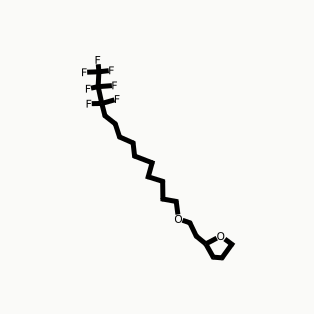 FC(F)(F)C(F)(F)C(F)(F)CCCCCCCCCCOCCC1CCCO1